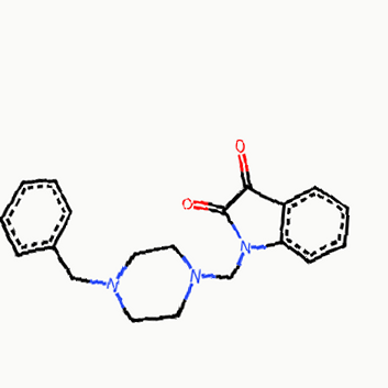 O=C1C(=O)N(CN2CCN(Cc3ccccc3)CC2)c2ccccc21